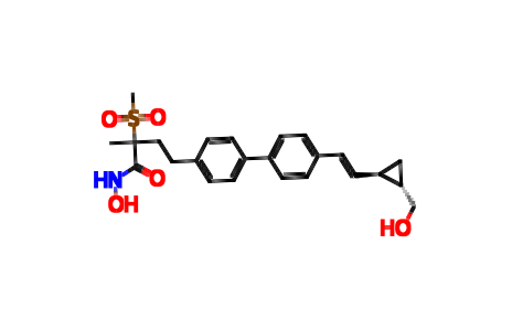 CC(CCc1ccc(-c2ccc(C=C[C@H]3C[C@@H]3CO)cc2)cc1)(C(=O)NO)S(C)(=O)=O